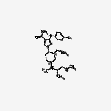 COCC(C)N(C)[C@H]1CCC(n2cc(C(N)=O)c(Nc3ccc(Cl)cc3)n2)[C@@H](CN)C1